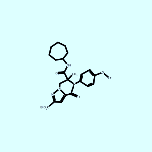 CCOC(=O)c1cc2n(n1)CC(C)(C(=O)NC1CCCCCC1)N(c1ccc(OCC)cc1)C2=O